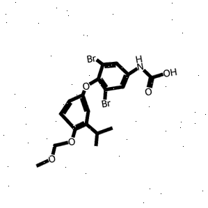 COCOc1ccc(Oc2c(Br)cc(NC(=O)O)cc2Br)cc1C(C)C